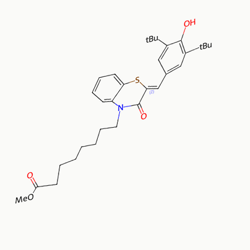 COC(=O)CCCCCCCN1C(=O)/C(=C/c2cc(C(C)(C)C)c(O)c(C(C)(C)C)c2)Sc2ccccc21